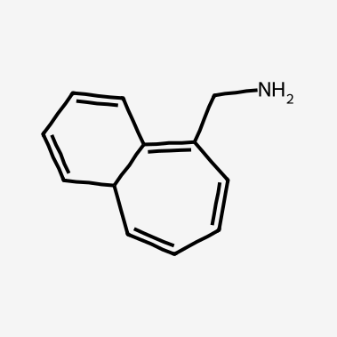 NCC1=C2C=CC=CC2C=CC=C1